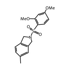 COc1ccc(S(=O)(=O)N2Cc3ccc(C)cc3C2)c(OC)c1